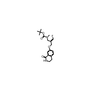 CN(C/C(=C\F)COc1ccc2c(c1)C(=O)NCC2)C(=O)OC(C)(C)C